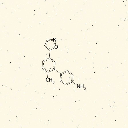 Cc1ccc(-c2ccno2)cc1-c1ccc(N)cc1